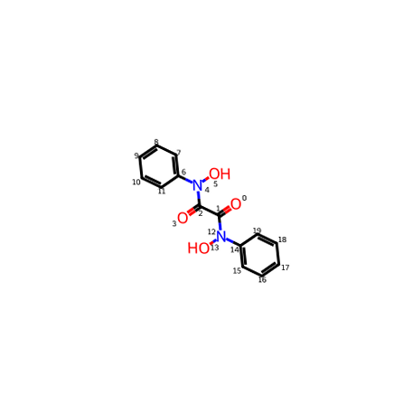 O=C(C(=O)N(O)c1ccccc1)N(O)c1ccccc1